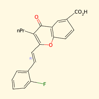 CCCc1c(/C=C/c2ccccc2F)oc2ccc(C(=O)O)cc2c1=O